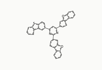 c1ccc2c(c1)oc1cc(-c3cc(-c4ccc5sc6ccccc6c5c4)nc(-c4ccc5c(c4)oc4ccccc45)n3)ccc12